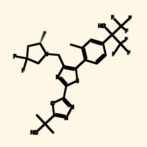 Cc1cc(C(O)(C(F)(F)F)C(F)(F)F)ccc1-c1sc(-c2nnc(C(C)(C)O)o2)nc1CN1CC(F)(F)C[C@@H]1C